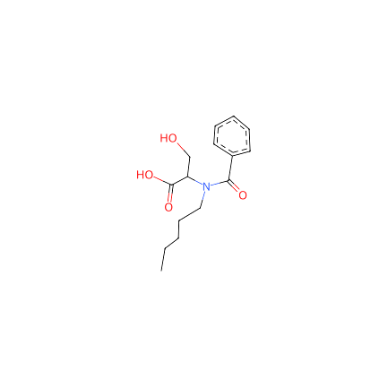 CCCCCN(C(=O)c1ccccc1)C(CO)C(=O)O